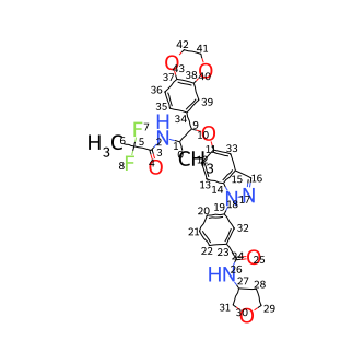 CC(NC(=O)C(C)(F)F)C(Oc1ccc2c(cnn2-c2cccc(C(=O)NC3CCOC3)c2)c1)c1ccc2c(c1)OCCO2